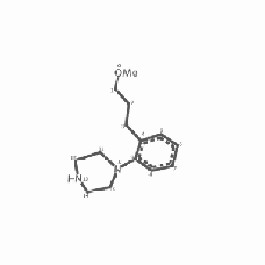 COCCCc1ccccc1N1CCNCC1